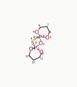 S=P1(OP2(=S)OCCCO2)OCCCO1